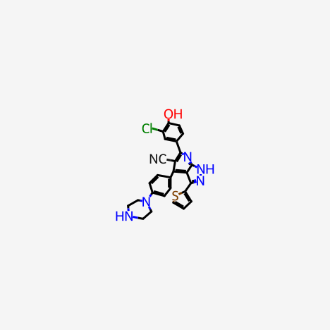 N#Cc1c(-c2ccc(O)c(Cl)c2)nc2[nH]nc(-c3cccs3)c2c1-c1ccc(N2CCNCC2)cc1